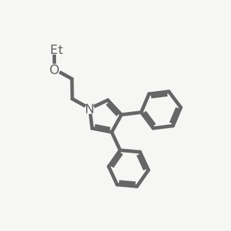 CCOCCn1cc(-c2ccccc2)c(-c2ccccc2)c1